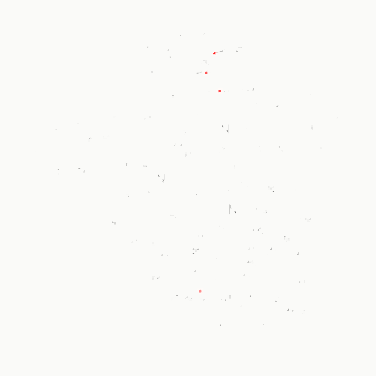 CC1CCC(C)(C)c2cc3c(cc21)N(c1ccc(C(C)(C)C)cc1C1=CC=C=C=C1)c1cc(N2c4ccc(C(C)(C)C)cc4C4(c5ccc(C(C)(C)C)cc5)CCCCC24C)cc2c1B3c1ccc(-c3ccccc3)cc1N2c1cccc(-c2ccccc2)c1